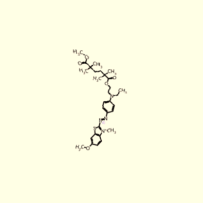 CCN(CCOC(=O)C(C)(C)CCC(C)(C)C(=O)OC)c1ccc(/N=N/c2sc3cc(OC)ccc3[n+]2C)cc1